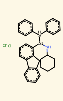 [Cl-].[Cl-].c1ccc([SiH](c2ccccc2)[Zr+2]([NH]C2CCCCC2)[c]2cccc3c2Cc2ccccc2-3)cc1